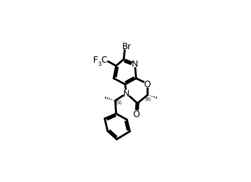 C[C@H]1Oc2nc(Br)c(C(F)(F)F)cc2N([C@@H](C)c2ccccc2)C1=O